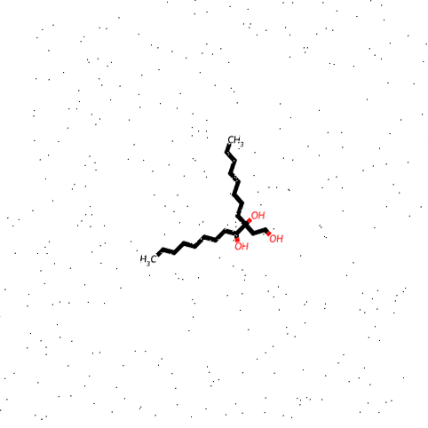 CCCCCCCCC(O)C(O)(CCO)CCCCCCCC